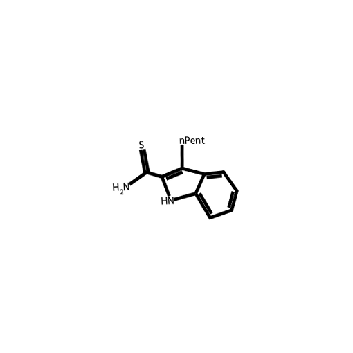 CCCCCc1c(C(N)=S)[nH]c2ccccc12